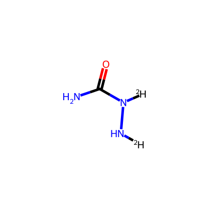 [2H]NN([2H])C(N)=O